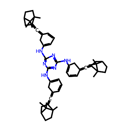 CC12CCC(CC1=C=C1C=CC=C(Nc3nc(NC4=CC=CC(=C=C5CC6CCC5(C)C6(C)C)C4)nc(NC4=CC=CC(=C=C5CC6CCC5(C)C6(C)C)C4)n3)C1)C2(C)C